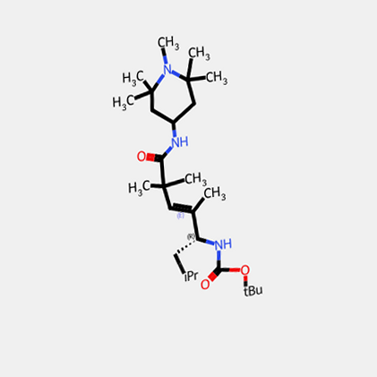 C/C(=C\C(C)(C)C(=O)NC1CC(C)(C)N(C)C(C)(C)C1)[C@@H](CC(C)C)NC(=O)OC(C)(C)C